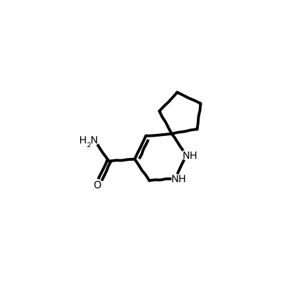 NC(=O)C1=CC2(CCCC2)NNC1